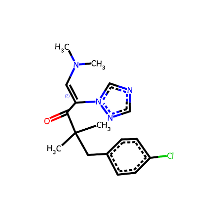 CN(C)/C=C(/C(=O)C(C)(C)Cc1ccc(Cl)cc1)n1cncn1